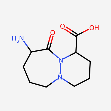 NC1CCCN2CCCC(C(=O)O)N2C1=O